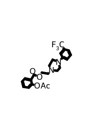 CC(=O)Oc1ccccc1C(=O)OCCN1CCN(c2cccc(C(F)(F)F)c2)CC1